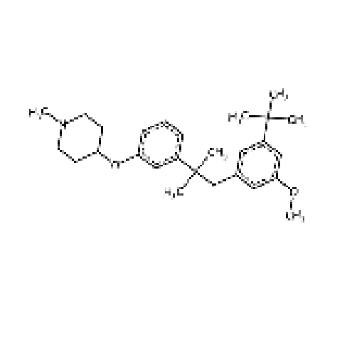 COc1cc(CC(C)(C)c2cccc(OC3CCN(C)CC3)c2)cc(C(C)(C)C)c1